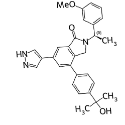 COc1cccc([C@@H](C)N2Cc3c(cc(-c4cn[nH]c4)cc3-c3ccc(C(C)(C)O)cc3)C2=O)c1